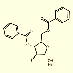 Br.O=C(OC[C@H]1O[C@H](O)[C@@H](F)[C@@H]1OC(=O)c1ccccc1)c1ccccc1